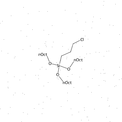 CCCCCCCCO[Si](CCCCl)(OCCCCCCCC)OCCCCCCCC